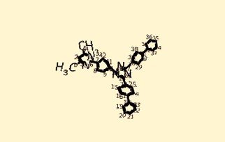 Cc1cc(C)nc(-c2ccc(-c3nc(-c4ccc(-c5ccccc5)cc4)nc(-c4ccc(-c5ccccc5)cc4)n3)cc2)n1